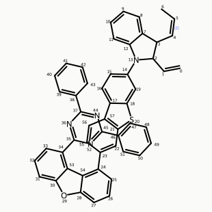 C=CC1C(/C=C\C)c2ccccc2N1c1ccc2c(c1)sc1cc(-c3cccc4oc5cccc(-c6nc(-c7ccccc7)nc(-c7ccccc7)n6)c5c34)ccc12